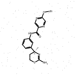 CCCOc1cnc(C(=O)Nc2cccc([C@]3(C)CCSC(N)=N3)c2)cn1